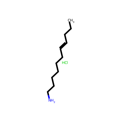 CCCC=CCCCCCCN.Cl